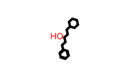 OC(CCc1ccccc1)CCC1CCCCC1